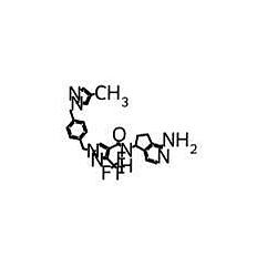 Cc1cnn(Cc2ccc(Cn3cc(C(=O)NC4CCc5c4ccnc5N)c(C(F)(F)F)n3)cc2)c1